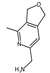 Cc1nc(CN)cc2c1COC2